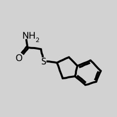 NC(=O)CSC1Cc2ccccc2C1